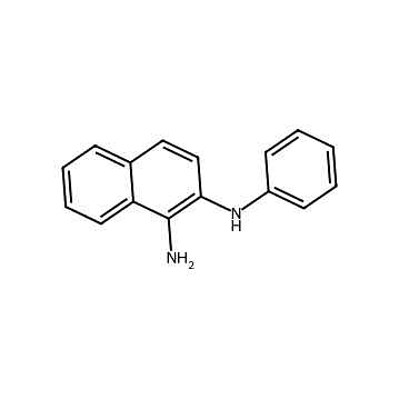 Nc1c(Nc2ccccc2)ccc2ccccc12